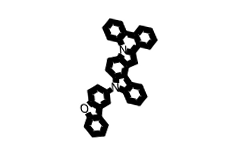 c1ccc2c(c1)oc1ccc(-n3c4ccccc4c4c5cc6c7ccccc7c7ccccc7n6c5ccc43)cc12